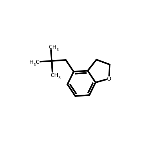 CC(C)(C)Cc1cccc2c1CCO2